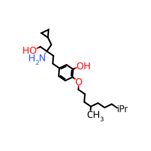 CC(C)CCCC(C)CCCOc1ccc(CC[C@@](N)(CO)CC2CC2)cc1O